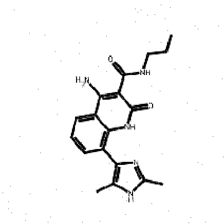 CCCNC(=O)c1c(N)c2cccc(-c3nc(C)[nH]c3C)c2[nH]c1=O